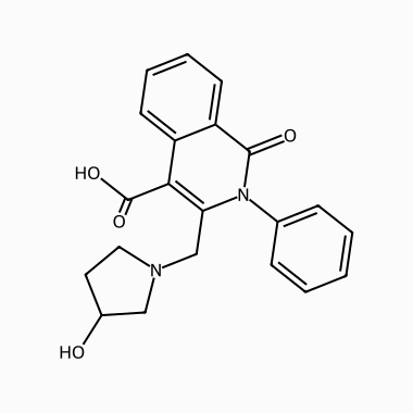 O=C(O)c1c(CN2CCC(O)C2)n(-c2ccccc2)c(=O)c2ccccc12